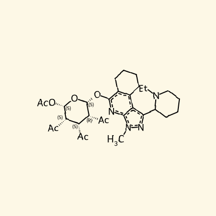 CCN1CCCCC1c1nn(C)c2nc(O[C@H]3O[C@@H](OC(C)=O)[C@@H](C(C)=O)[C@@H](C(C)=O)[C@H]3C(C)=O)c3c(c12)CCCC3